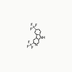 FC(F)(F)c1ccc2[nH]c3cnc(C(F)(F)F)cc3c2c1